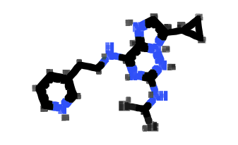 CCC(CC)Nc1nc(NCCc2cccnc2)c2ncc(C3CC3)n2n1